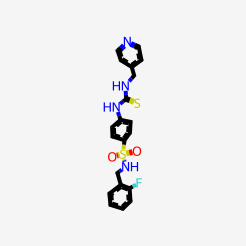 O=S(=O)(NCc1ccccc1F)c1ccc(NC(=S)NCc2ccncc2)cc1